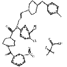 O=C(O)C(F)(F)F.O=C(c1cccc([N+](=O)[O-])c1)N1CCC(C(=O)N(CCCN2CCC(Cc3ccc(F)cc3)CC2)c2ccc(Cl)c(Cl)c2)CC1